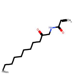 C=CC(=O)NCC(=O)CCCCCCCCCCCCCCCCC